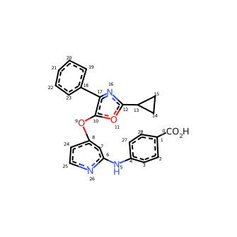 O=C(O)c1ccc(Nc2cc(Oc3oc(C4CC4)nc3-c3ccccc3)ccn2)cc1